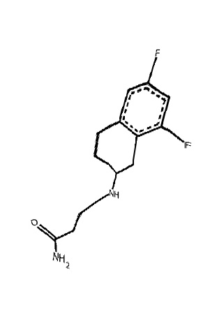 NC(=O)CCNC1CCc2cc(F)cc(F)c2C1